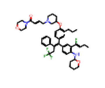 C/C=C(\C=C/C(=C/CCC)OC1CCCN(C/C=C/C(=O)N2CCOCC2)C1)C(=C(/CC(F)(F)F)c1ccccc1)/c1ccc(NC2CCCCO2)c(/C(F)=C/CC)c1